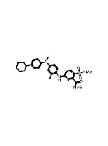 CNC(=O)c1nc(Nc2ccc(N(C)c3ccc(C4CCCCC4)cc3)cc2C)ccc1S(=O)(=O)NC